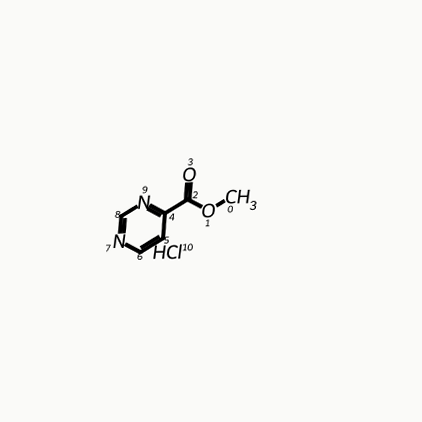 COC(=O)c1ccncn1.Cl